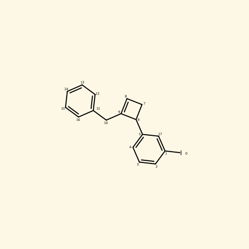 Ic1cccc(C2CC=C2Cc2ccccc2)c1